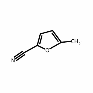 [CH2]c1ccc(C#N)o1